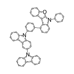 c1ccc(-n2c3cccc(-c4cccc(-n5c6ccccc6c6cc(-n7c8ccccc8c8ccccc87)ccc65)c4)c3c3c4ccccc4oc32)cc1